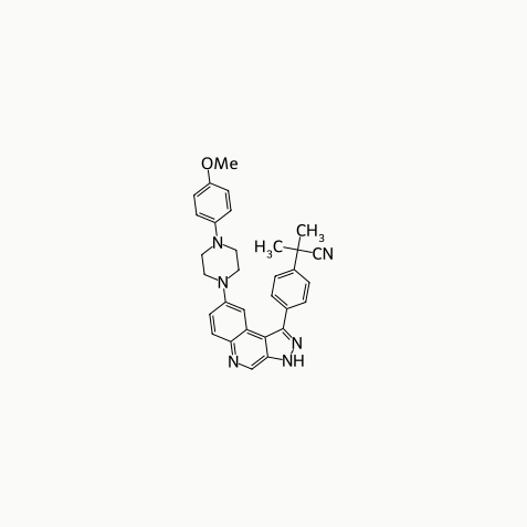 COc1ccc(N2CCN(c3ccc4ncc5[nH]nc(-c6ccc(C(C)(C)C#N)cc6)c5c4c3)CC2)cc1